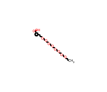 CCCCOCCOCCOCCOCCOCCOCCOCCOCCCc1cccc(C(=O)O)c1